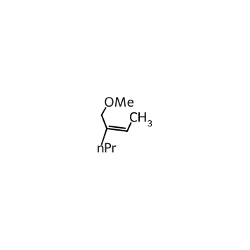 CC=C(CCC)COC